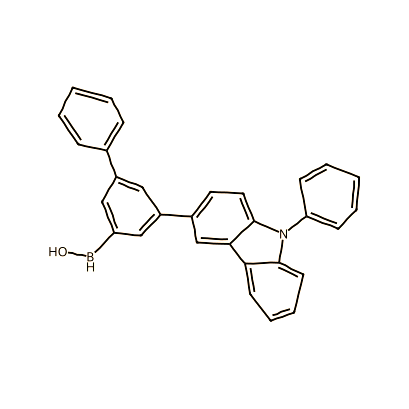 OBc1cc(-c2ccccc2)cc(-c2ccc3c(c2)c2ccccc2n3-c2ccccc2)c1